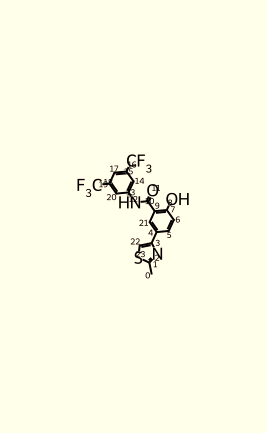 Cc1nc(-c2ccc(O)c(C(=O)Nc3cc(C(F)(F)F)cc(C(F)(F)F)c3)c2)cs1